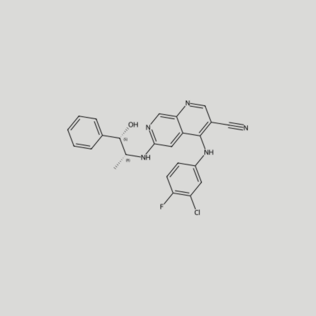 C[C@@H](Nc1cc2c(Nc3ccc(F)c(Cl)c3)c(C#N)cnc2cn1)[C@@H](O)c1ccccc1